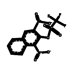 O=[N+]([O-])c1cc2ccccc2c([N+](=O)[O-])c1OS(=O)(=O)C(F)(F)F